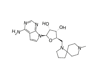 CN1CCC2(CCCN2C[C@H]2O[C@@H](n3ccc4c(N)ncnc43)[C@H](O)[C@@H]2O)CC1